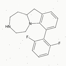 Fc1cccc(F)c1-c1cccc2c1N1CCNCCC1C2